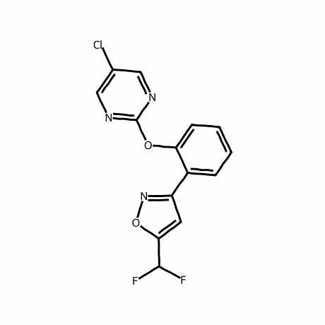 FC(F)c1cc(-c2ccccc2Oc2ncc(Cl)cn2)no1